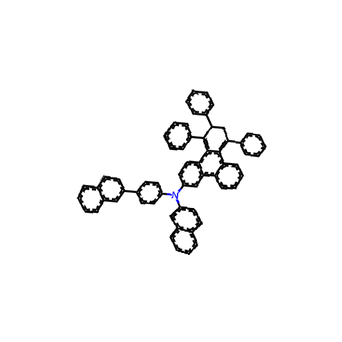 c1ccc(C2=c3c(c4ccc(N(c5ccc(-c6ccc7ccccc7c6)cc5)c5ccc6ccccc6c5)cc4c4ccccc34)=C(c3ccccc3)C(c3ccccc3)C2)cc1